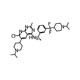 Cc1nc(N[C@H](C)c2cccc(C(F)(F)C3CCN(C(C)C)CC3)c2)c2cc(C3CCN(C(C)C)CC3)c(Cl)nc2n1